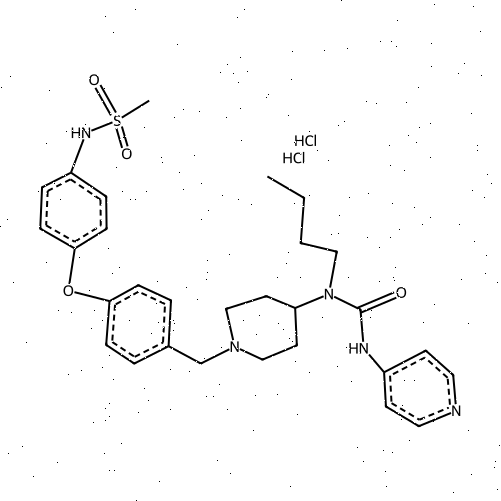 CCCCN(C(=O)Nc1ccncc1)C1CCN(Cc2ccc(Oc3ccc(NS(C)(=O)=O)cc3)cc2)CC1.Cl.Cl